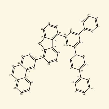 C1=CC(c2nc(-c3ccccc3)nc(-c3cccc4oc5c(-c6ccc7ccc8ccccc8c7c6)cccc5c34)n2)CC=C1c1ccccc1